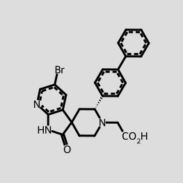 O=C(O)CN1CCC2(C[C@@H]1c1ccc(-c3ccccc3)cc1)C(=O)Nc1ncc(Br)cc12